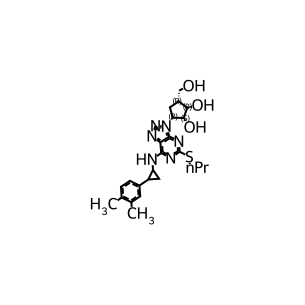 CCCSc1nc(NC2CC2c2ccc(C)c(C)c2)c2nnn([C@@H]3C[C@H](CO)[C@@H](O)[C@H]3O)c2n1